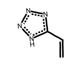 C=Cc1nnn[nH]1